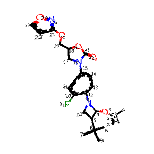 C[SiH](C)OC1C(C(C)(C)C)CN1c1ccc(N2CC(COc3ccon3)OC2=O)cc1F